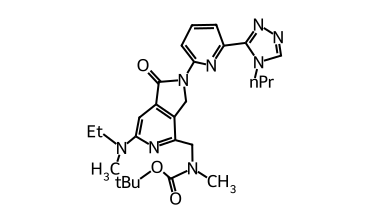 CCCn1cnnc1-c1cccc(N2Cc3c(cc(N(C)CC)nc3CN(C)C(=O)OC(C)(C)C)C2=O)n1